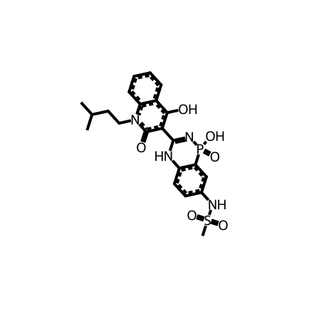 CC(C)CCn1c(=O)c(C2=NP(=O)(O)c3cc(NS(C)(=O)=O)ccc3N2)c(O)c2ccccc21